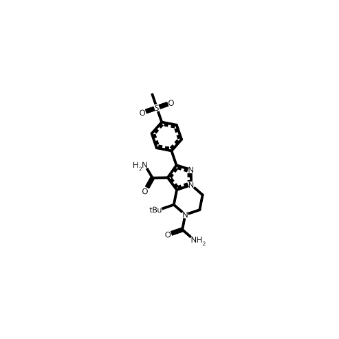 CC(C)(C)C1c2c(C(N)=O)c(-c3ccc(S(C)(=O)=O)cc3)nn2CCN1C(N)=O